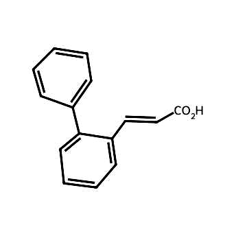 O=C(O)C=Cc1ccccc1-c1ccccc1